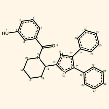 O=C(c1cccc(O)c1)N1CCCCC1c1nc(-c2ccccc2)c(-c2ccccc2)o1